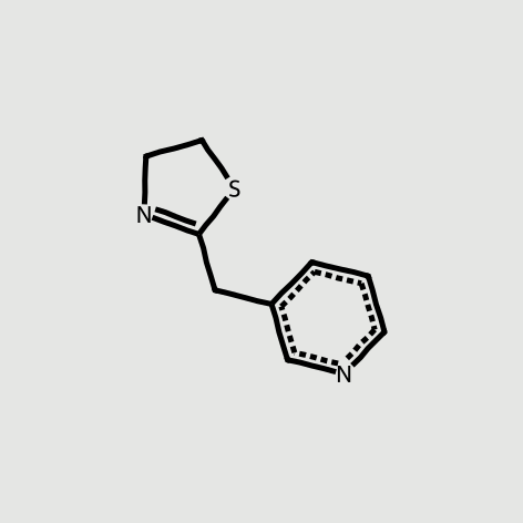 c1cncc(CC2=NCCS2)c1